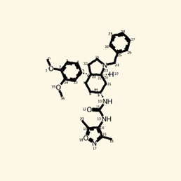 COc1ccc([C@@]23CC[C@@H](NC(=O)Nc4c(C)noc4C)C[C@@H]2N(Cc2ccccc2)CC3)cc1OC